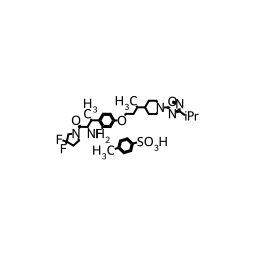 CC(C)c1noc(N2CCC(C(C)CCOc3ccc([C@H](C)[C@H](N)C(=O)N4CCC(F)(F)C4)c(F)c3)CC2)n1.Cc1ccc(S(=O)(=O)O)cc1